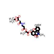 COc1ccc2c3c1O[C@H]1C(OC(=O)[C@@H](C)OC(=O)CCNC(=O)C[C@@H]4OC(C)(C)OC4=O)=CC[C@@]4(O)[C@@H](C2)N(C)CC[C@]314